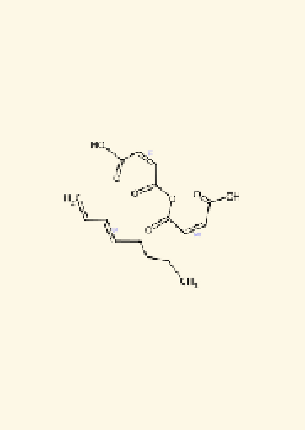 C=C/C=C/CCCC.O=C(O)/C=C\C(=O)OC(=O)/C=C\C(=O)O